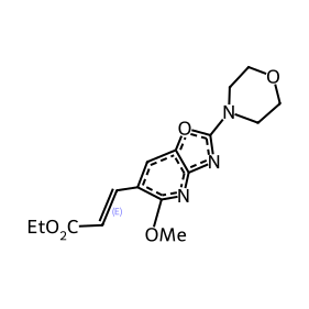 CCOC(=O)/C=C/c1cc2oc(N3CCOCC3)nc2nc1OC